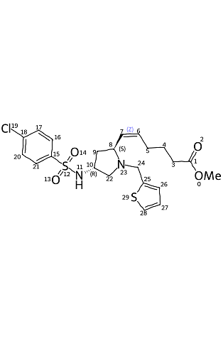 COC(=O)CCC/C=C\[C@@H]1C[C@@H](NS(=O)(=O)c2ccc(Cl)cc2)CN1Cc1cccs1